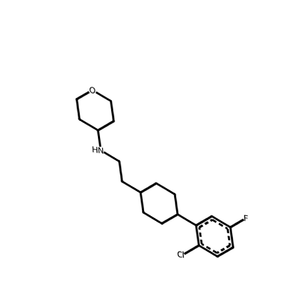 Fc1ccc(Cl)c(C2CCC(CCNC3CCOCC3)CC2)c1